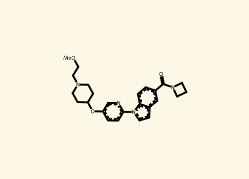 COCCN1CCC(Oc2ccc(-n3ccc4cc(C(=O)N5CCC5)ccc43)nc2)CC1